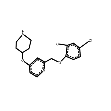 Clc1ccc(OCc2cc(OC3CCNCC3)ccn2)c(Cl)c1